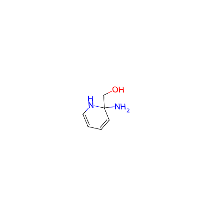 NC1(CO)C=CC=CN1